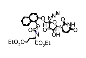 CCOC(=O)CC[C@H](/N=[P+](\[O-])Oc1c(OC[C@@]2(N=[N+]=[N-])O[C@@H](n3ccc(=O)[nH]c3=O)[C@H](O)[C@@H]2O)ccc2ccccc12)C(=O)OCC